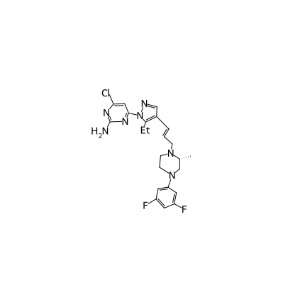 CCc1c(/C=C/CN2CCN(c3cc(F)cc(F)c3)C[C@H]2C)cnn1-c1cc(Cl)nc(N)n1